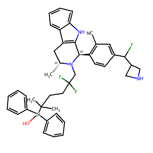 C[C@@H]1Cc2c([nH]c3ccccc23)[C@@H](c2ccc(C(F)C3CNC3)cc2C#N)N1CC(F)(F)CCC(C)(C)[Si](O)(c1ccccc1)c1ccccc1